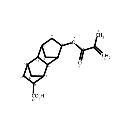 C=C(C)C(=O)OC1CC2CC1C1C3CC(CC3C(=O)O)C21